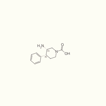 N[C@@H]1CN(C(=O)O)CC[C@@H]1c1ccccc1